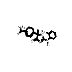 CCN(C1=NC(=O)C(C)(c2ccc(C(N)=O)cc2)S1)c1ccccc1C(F)(F)F